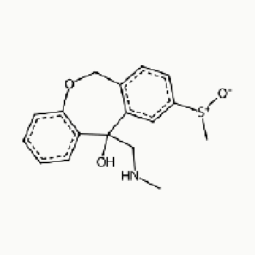 CNCC1(O)c2cc([S+](C)[O-])ccc2COc2ccccc21